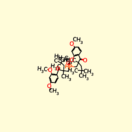 COc1ccc(C(=O)C(C)(C[PH](=O)CC(C)(CC(C)(C)C)C(=O)c2ccc(OC)cc2OC)CC(C)(C)C)c(OC)c1